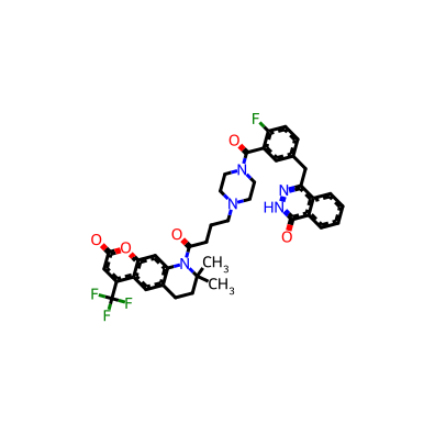 CC1(C)CCc2cc3c(C(F)(F)F)cc(=O)oc3cc2N1C(=O)CCCN1CCN(C(=O)c2cc(Cc3n[nH]c(=O)c4ccccc34)ccc2F)CC1